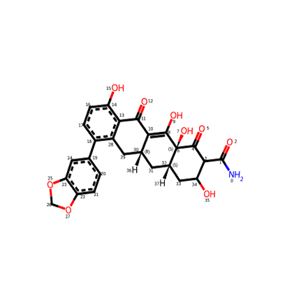 NC(=O)C1C(=O)[C@@]2(O)C(O)=C3C(=O)c4c(O)ccc(-c5ccc6c(c5)OCO6)c4C[C@H]3C[C@H]2CC1O